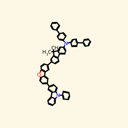 CC1(C)c2cc(-c3ccc4oc5ccc(-c6ccc7c(c6)c6ccccc6n7-c6ccccc6)cc5c4c3)ccc2-c2ccc(N(c3ccc(-c4ccccc4)cc3)c3ccc(-c4ccccc4)cc3)cc21